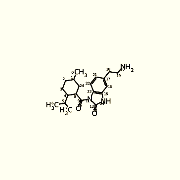 CC1CCC(C(C)C)C(C(=O)n2c(=O)[nH]c3cc(CCN)ccc32)C1